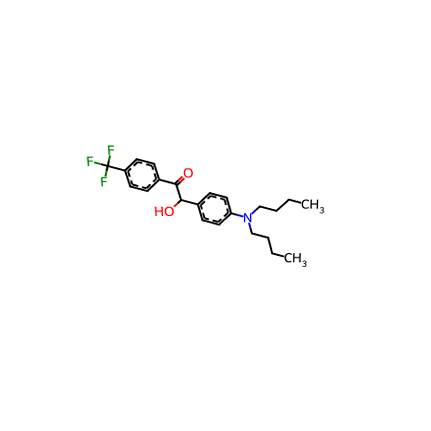 CCCCN(CCCC)c1ccc(C(O)C(=O)c2ccc(C(F)(F)F)cc2)cc1